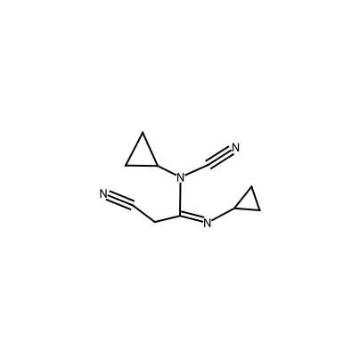 N#CCC(=NC1CC1)N(C#N)C1CC1